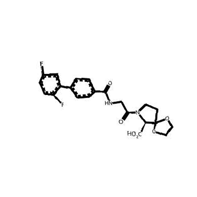 O=C(NCC(=O)N1CCC2(OCCO2)[C@H]1C(=O)O)c1ccc(-c2cc(F)ccc2F)cc1